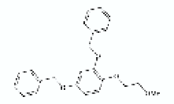 COCCOc1ccc(OCc2ccccc2)cc1OCc1ccccc1